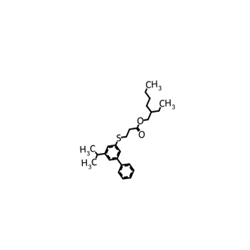 CCCCC(CC)COC(=O)CCSc1cc(-c2ccccc2)cc(C(C)C)c1